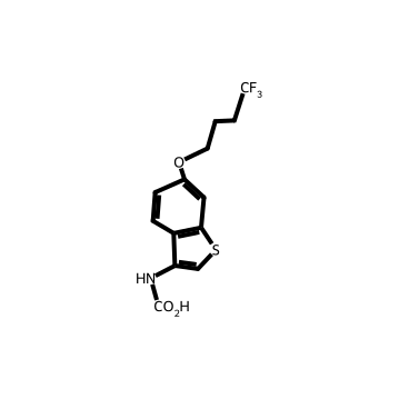 O=C(O)Nc1csc2cc(OCCCC(F)(F)F)ccc12